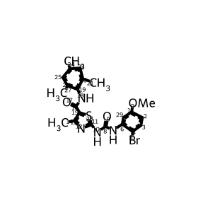 COc1ccc(Br)c(NC(=O)Nc2nc(C)c(C(=O)Nc3c(C)cc(C)cc3C)s2)c1